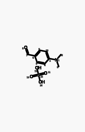 CN(C)c1ccc(C=O)cc1.O=S(=O)(O)O